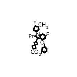 Cc1cc(-n2c(C(C)C)c(C3CC4(CC(C(=O)O)C4)C3)c3c(OCc4ccccc4)cc(F)cc32)ccc1F